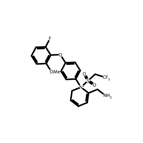 COc1cccc(F)c1Oc1ccc([N+]2(S(=O)(=O)CC(F)(F)F)CC=CC=C2CN)cc1